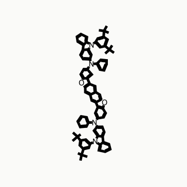 CC(C)(C)c1cc(-n2c3ccccc3c3ccc(N(c4ccccc4)c4ccc5oc6cc7cc8c(cc7cc6c5c4)oc4ccc(N(c5ccccc5)c5ccc6c7ccccc7n(-c7cc(C(C)(C)C)cc(C(C)(C)C)c7)c6c5)cc48)cc32)cc(C(C)(C)C)c1